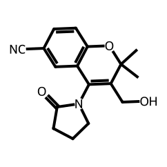 CC1(C)Oc2ccc(C#N)cc2C(N2CCCC2=O)=C1CO